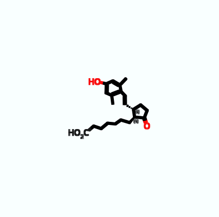 Cc1cc(O)cc(C)c1C=C[C@@H]1CCC(=O)[C@H]1CCCCCCC(=O)O